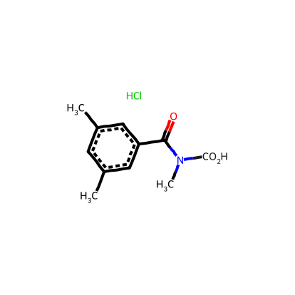 Cc1cc(C)cc(C(=O)N(C)C(=O)O)c1.Cl